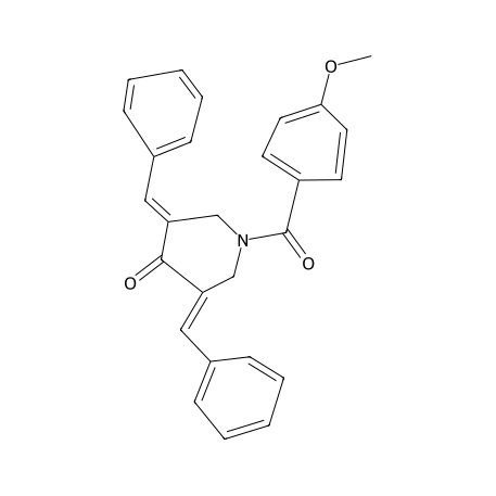 COc1ccc(C(=O)N2CC(=Cc3ccccc3)C(=O)C(=Cc3ccccc3)C2)cc1